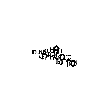 CCC[C@H](NC(=O)[C@@H]1[C@H]2CCC[C@H]2CN1C(=O)[C@@H](N1CC[C@H](C)[C@H](NC(=O)c2cnccn2)C1=O)C(C)(C)C)C(=O)C(=O)N[C@@H](C)CC